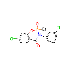 CCP1(=O)Oc2cc(Cl)ccc2C(=O)N1c1cccc(Cl)c1